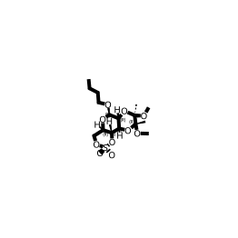 CCCCO[C@@H]1O[C@@H]2COS(=O)(=O)O[C@H]2[C@@H]2O[C@@](C)(OC)[C@](C)(OC)O[C@@H]12